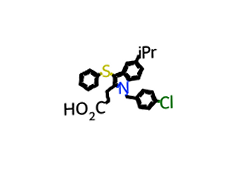 CC(C)c1ccc2c(c1)c(Sc1ccccc1)c(CCC(=O)O)n2Cc1ccc(Cl)cc1